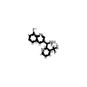 NC(c1cnc2c(F)cccc2c1)c1ncccc1C(F)(F)F